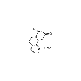 COc1cccc2c1C1CC(=O)CC(=O)N1CC2